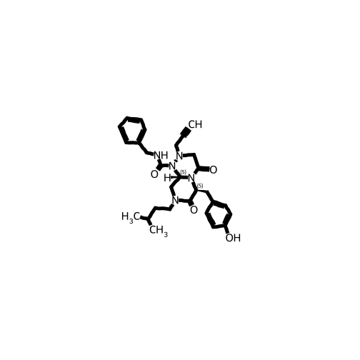 C#CCN1CC(=O)N2[C@@H](Cc3ccc(O)cc3)C(=O)N(CCC(C)C)C[C@@H]2N1C(=O)NCc1ccccc1